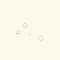 O=C(CN1CCn2cccc2C1c1ccc(Cl)cc1)NCCc1ccccc1